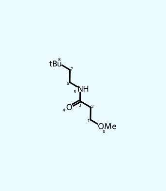 COCCC(=O)NCCC(C)(C)C